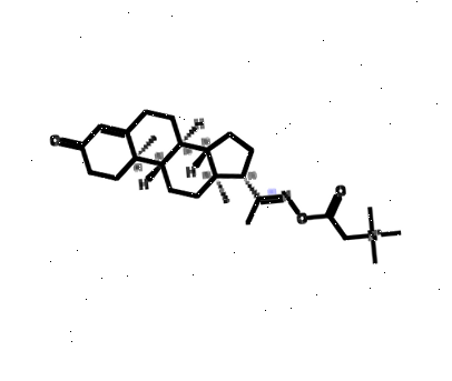 C/C(=N\OC(=O)C[N+](C)(C)C)[C@H]1CC[C@H]2[C@@H]3CCC4=CC(=O)CC[C@]4(C)[C@H]3CC[C@]12C